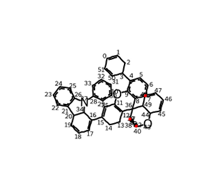 C1=CCC(c2cccc3c2OC2=C(CCC(C4=CC=CC5c6ccccc6N(c6ccccc6)C45)=C2)C32c3ccccc3OC3C=CC=CC32)C=C1